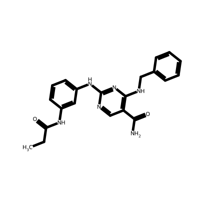 CCC(=O)Nc1cccc(Nc2ncc(C(N)=O)c(NCc3ccccc3)n2)c1